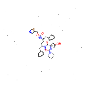 O=C(N[C@@H](CC[C@@H](Cc1ccccc1)NC(=O)[C@@H]1C[C@@H](O)CN1C(=O)N1CCCCC1)Cc1ccccc1)OCc1cncs1